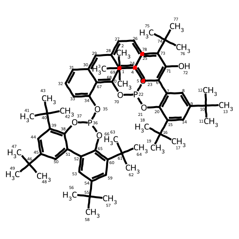 CC(C)(C)c1cc(-c2cc(C(C)(C)C)cc(C(C)(C)C)c2OP2Oc3cccc4cc5cccc(Op6oc7c(C(C)(C)C)cc(C(C)(C)C)cc7c7cc(C(C)(C)C)cc(C(C)(C)C)c7o6)c5c(c34)O2)c(O)c(C(C)(C)C)c1